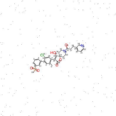 Cc1cc(-c2cccc(S(C)(=O)=O)c2)c(Cl)cc1C1=C(O)C2(CCN(C(=O)CCc3cccnc3)CC2)OC1=O